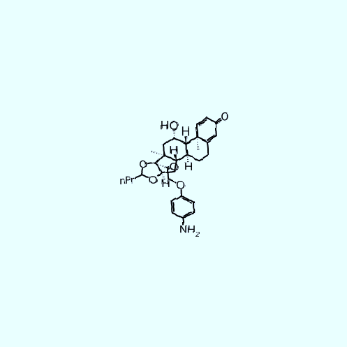 CCCC1O[C@@H]2C[C@H]3[C@@H]4CCC5=CC(=O)C=C[C@]5(C)[C@H]4[C@@H](O)C[C@]3(C)[C@]2(C(=O)COc2ccc(N)cc2)O1